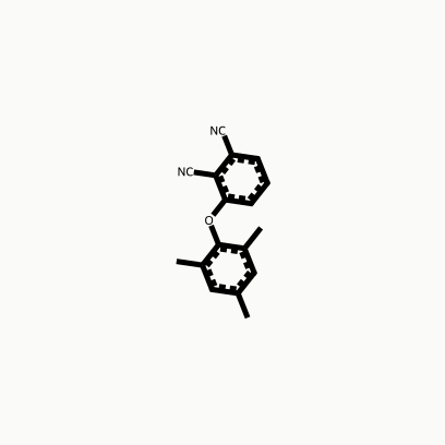 Cc1cc(C)c(Oc2cccc(C#N)c2C#N)c(C)c1